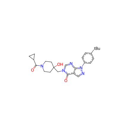 CC(C)(C)c1ccc(-n2ncc3c(=O)n(CC4(O)CCN(C(=O)C5CC5)CC4)cnc32)cc1